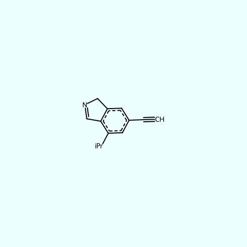 C#Cc1cc2c(c(C(C)C)c1)C=NC2